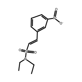 CCN(CC)S(=O)(=O)C=Cc1cccc([N+](=O)[O-])c1